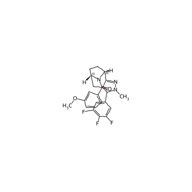 COc1cccc(C(=O)N2[C@H]3CC[C@@H]2c2nn(C)c(-c4cc(F)c(F)c(F)c4)c2C3)c1